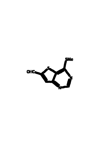 CSc1ncnc2cc(C=O)sc12